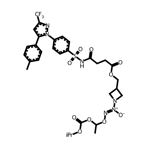 Cc1ccc(-c2cc(C(F)(F)F)nn2-c2ccc(S(=O)(=O)NC(=O)CCC(=O)OCC3CN([N+]([O-])=NOC(C)OC(=O)OC(C)C)C3)cc2)cc1